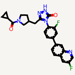 O=C(C1CC1)N1CCC(Cc2n[nH]c(=O)n2-c2ccc(-c3ccc4cc(F)cnc4c3)cc2F)C1